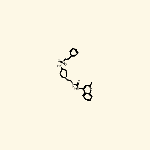 Cc1cc(NC(=O)NCCN2CCC(NS(=O)(=O)CCc3ccccc3)CC2)c2ccccc2n1